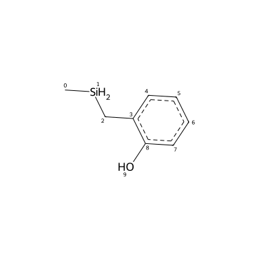 C[SiH2]Cc1ccccc1O